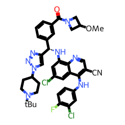 COC1CN(C(=O)c2cccc([C@H](Nc3cc(Cl)cc4c(Nc5ccc(F)c(Cl)c5)c(C#N)cnc34)c3cn(C4CCN(C(C)(C)C)CC4)nn3)c2)C1